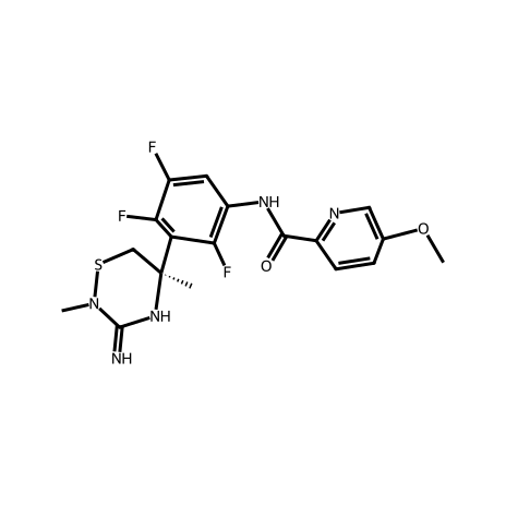 COc1ccc(C(=O)Nc2cc(F)c(F)c([C@]3(C)CSN(C)C(=N)N3)c2F)nc1